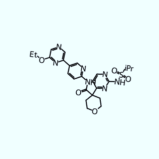 CCOc1cncc(-c2ccc(NC(=O)C3(c4ccnc(NS(=O)(=O)C(C)C)n4)CCOCC3)nc2)n1